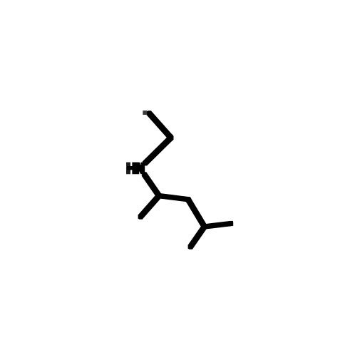 [CH2]CNC(C)CC(C)C